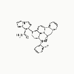 NC(=O)c1c(C2CCC(N(Br)c3ccccc3F)c3c2ccc2c3C(=O)Cc3ccccc3-2)ccn2cccc12